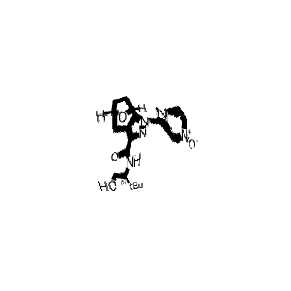 CC(C)(C)[C@@H](CO)NC(=O)c1nn(-c2c[n+]([O-])ccn2)c2c1C[C@@H]1CC[C@H]2O1